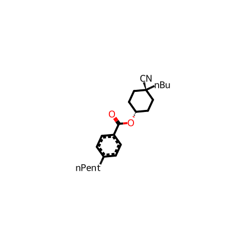 CCCCCc1ccc(C(=O)O[C@H]2CC[C@@](C#N)(CCCC)CC2)cc1